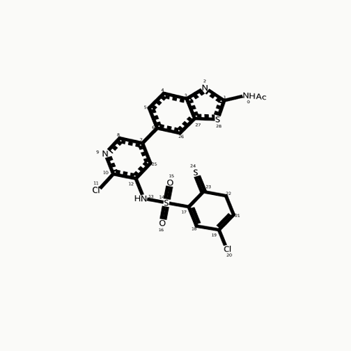 CC(=O)Nc1nc2ccc(-c3cnc(Cl)c(NS(=O)(=O)C4=CC(Cl)=CCC4=S)c3)cc2s1